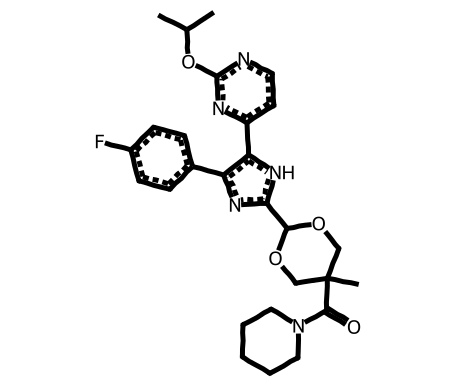 CC(C)Oc1nccc(-c2[nH]c(C3OCC(C)(C(=O)N4CCCCC4)CO3)nc2-c2ccc(F)cc2)n1